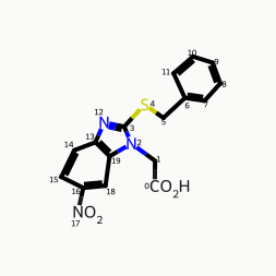 O=C(O)Cn1c(SCc2ccccc2)nc2ccc([N+](=O)[O-])cc21